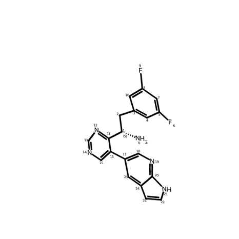 N[C@@H](Cc1cc(F)cc(F)c1)c1ncncc1-c1cnc2[nH]ccc2c1